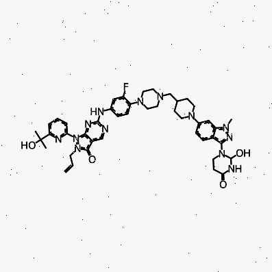 C=CCn1c(=O)c2cnc(Nc3ccc(N4CCN(CC5CCN(c6ccc7c(N8CCC(=O)NC8O)nn(C)c7c6)CC5)CC4)c(F)c3)nc2n1-c1cccc(C(C)(C)O)n1